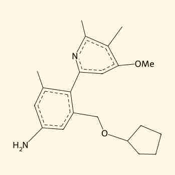 COc1cc(-c2c(C)cc(N)cc2COC2CCCC2)nc(C)c1C